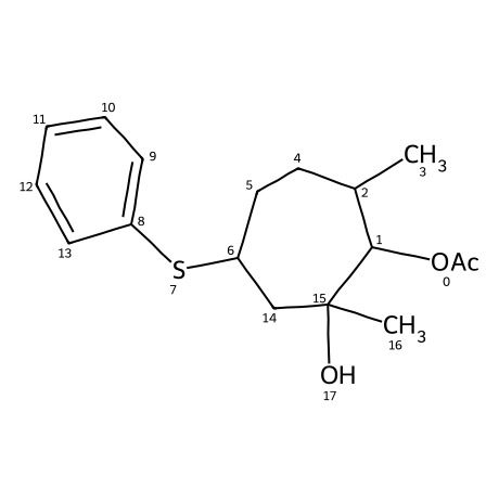 CC(=O)OC1C(C)CCC(Sc2ccccc2)CC1(C)O